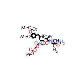 CCC(OC)Oc1cc(C[C@@H](C[C@H]2[C@H](C[C@H](C(=O)NCC(C)(C)C(N)=O)C(C)C)OCN2C(=O)OCOC(=O)OC(C)C)C(C)C)ccc1OC